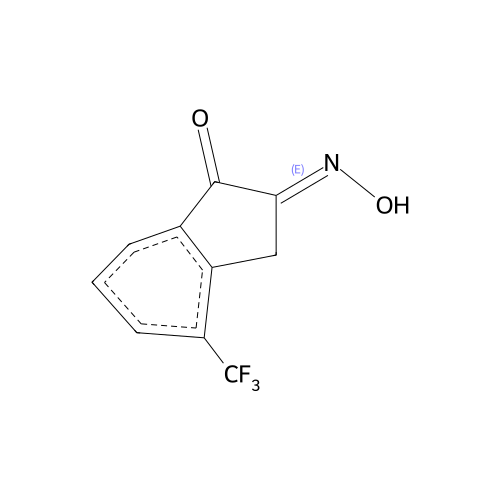 O=C1/C(=N/O)Cc2c1cccc2C(F)(F)F